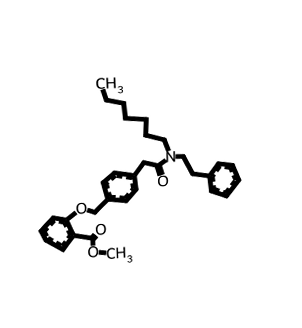 CCCCCCCN(CCc1ccccc1)C(=O)Cc1ccc(COc2ccccc2C(=O)OC)cc1